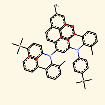 Cc1cccc(-c2ccccc2)c1N(c1ccc([Si](C)(C)C)cc1)c1cc(N(c2ccc([Si](C)(C)C)cc2)c2c(C)cccc2-c2ccccc2)c2ccc3cc(C(C)(C)C)cc4ccc1c2c43